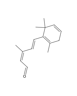 CC1=C(/C=C/C(C)=C\C=O)C(C)(C)C=CC1